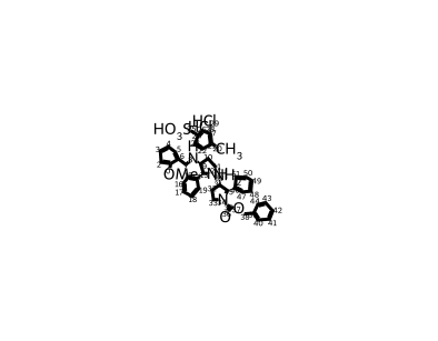 COc1ccccc1CN[C@H]1CCN[C@H]1c1ccccc1.Cc1ccc(S(=O)(=O)O)cc1.Cl.Cl.N[C@H]1CCN(C(=O)OCc2ccccc2)[C@H]1c1ccccc1